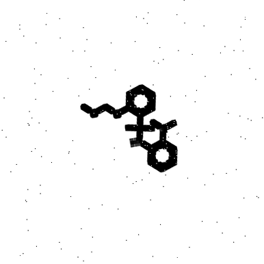 COCOc1ccccc1C(C)(C)Pc1ccccc1N(C)C